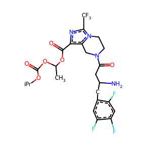 CC(C)OC(=O)OC(C)OC(=O)c1nc(C(F)(F)F)n2c1CN(C(=O)CC(N)Cc1cc(F)c(F)cc1F)CC2